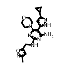 Cc1cc(CNc2nc(N)c(-c3cc(C4CC4)n[nH]3)c(N3CCOCC3)n2)on1